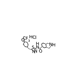 Cl.O=C(Nc1nnc(Cc2ccc(OC(F)(F)F)cc2)s1)c1ccc2c(c1)CCNC2